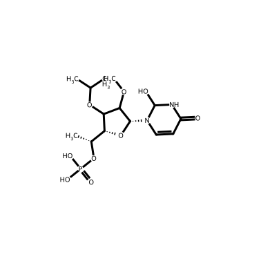 COC1C(OC(C)C)[C@@H]([C@@H](C)OP(=O)(O)O)O[C@H]1N1C=CC(=O)NC1O